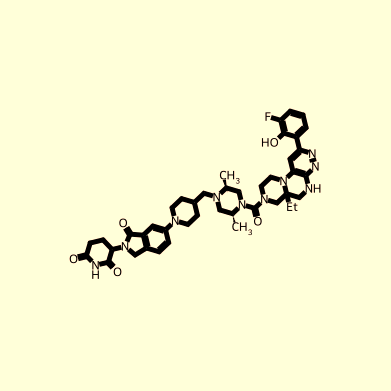 CCC12CNc3nnc(-c4cccc(F)c4O)cc3N1CCN(C(=O)N1C[C@H](C)N(CC3CCN(c4ccc5c(c4)C(=O)N(C4CCC(=O)NC4=O)C5)CC3)C[C@H]1C)C2